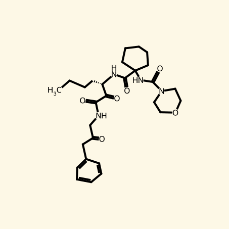 CCCC[C@H](NC(=O)C1(NC(=O)N2CCOCC2)CCCCC1)C(=O)C(=O)NCC(=O)Cc1ccccc1